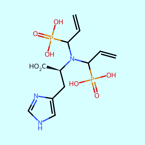 C=CC(N(C(C=C)P(=O)(O)O)[C@@H](Cc1c[nH]cn1)C(=O)O)P(=O)(O)O